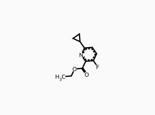 CCOC(=O)c1nc(C2CC2)ccc1F